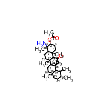 CC(=O)O[C@@H]1CC[C@@]2(C)C(CC[C@]3(C)C2C(=O)C=C2C4[C@@H](C)[C@H](C)CC[C@]4(C)CC[C@]23C)[C@@]1(C)N